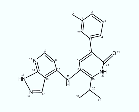 Cc1cccc(-c2cc(Nc3ccnc4[nH]ncc34)c(C(C)C)[nH]c2=O)c1